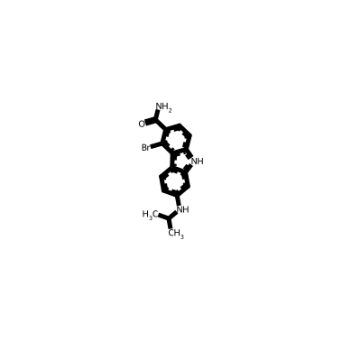 CC(C)Nc1ccc2c(c1)[nH]c1ccc(C(N)=O)c(Br)c12